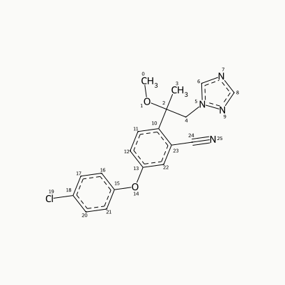 COC(C)(Cn1cncn1)c1ccc(Oc2ccc(Cl)cc2)cc1C#N